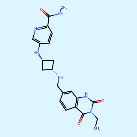 CCn1c(=O)[nH]c2cc(CN[C@H]3C[C@H](Nc4ccc(C(=O)NC)nc4)C3)ccc2c1=O